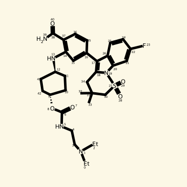 CCN(CC)CCNC(=O)O[C@H]1CC[C@H](Nc2cc(-c3c4n(c5cc(F)ccc35)S(=O)(=O)CC(C)(C)C4)ccc2C(N)=O)CC1